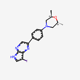 C[C@@H]1CN(c2ccc(-c3cnc4[nH]cc(I)c4n3)cc2)C[C@@H](C)O1